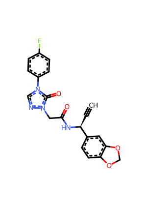 C#C[C@H](NC(=O)Cn1ncn(-c2ccc(F)cc2)c1=O)c1ccc2c(c1)OCO2